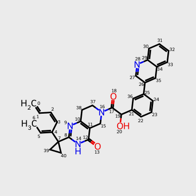 C=C/C=C\C(=C/C)C1(c2nc3c(c(=O)[nH]2)CN(C(=O)C(O)c2cccc(-c4cnc5ccccc5c4)c2)CC3)CC1